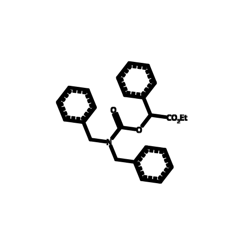 CCOC(=O)C(OC(=O)N(Cc1ccccc1)Cc1ccccc1)c1ccccc1